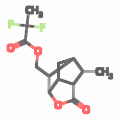 CC1C2CC3C(OC(=O)C13)C2COC(=O)C(C)(F)F